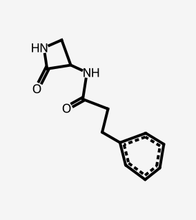 O=C(CCc1ccccc1)NC1CNC1=O